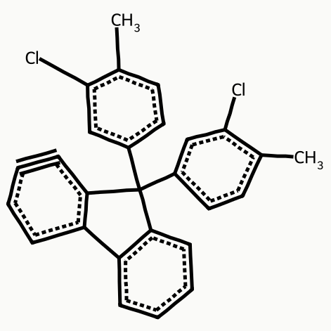 Cc1ccc(C2(c3ccc(C)c(Cl)c3)c3c#cccc3-c3ccccc32)cc1Cl